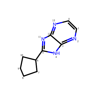 c1cnc2[nH]c(C3CCCC3)nc2n1